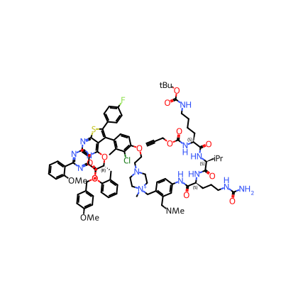 C#CCOC(=O)N[C@@H](CCCCNC(=O)OC(C)(C)C)C(=O)N[C@H](C(=O)N[C@@H](CCCNC(N)=O)C(=O)Nc1ccc(C[N+]2(C)CCN(CCOc3ccc(-c4c(-c5ccc(F)cc5)sc5ncnc(O[C@H](Cc6ccccc6OCc6ccnc(-c7ccccc7OC)n6)C(=O)OCc6ccc(OC)cc6)c45)c(C)c3Cl)CC2)c(CNC)c1)C(C)C